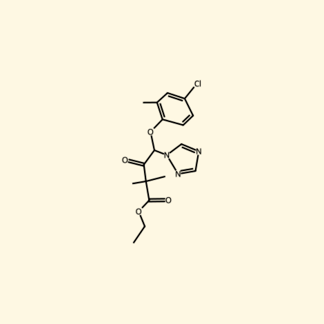 CCOC(=O)C(C)(C)C(=O)C(Oc1ccc(Cl)cc1C)n1cncn1